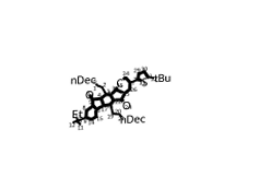 CCCCCCCCCCCCc1c2c(=O)c3cc(C(C)(C)CC)ccc3c2c(CCCCCCCCCCCC)c2c(=O)c3cc(-c4ccc(C(C)(C)C)s4)ccc3c12